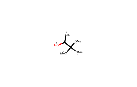 COC(OC)(OC)C(C)O